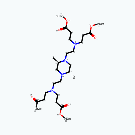 CCCCCCCCCCOC(=O)CCN(CCC(=O)OCCCCCCCCCC)CCN1C[C@H](C)N(CCN(CCC(=O)OC)CCC(=O)OCCCCCCCCCC)C[C@H]1C